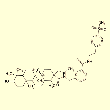 CCCC1(C(=O)NCc2cccc(C(=O)NCCc3ccc(S(N)(=O)=O)cc3)c2)CC[C@]2(C)C(CCC3C4(C)CCC(O)C(C)(C)C4CCC32C)C1C